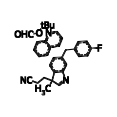 CC(C)(C)OC=O.CC1(CCC#N)C=Nc2cc(Cc3ccc(F)cc3)ccc21.c1ccc2ncccc2c1